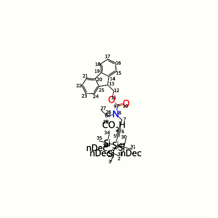 CCCCCCCCCC[Si](C)(C)[Si](C#CCN(C(=O)OCC1c2ccccc2-c2ccccc21)[C@@H](C)C(=O)O)([Si](C)(C)CCCCCCCCCC)[Si](C)(C)CCCCCCCCCC